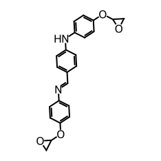 C(=N\c1ccc(OC2CO2)cc1)/c1ccc(Nc2ccc(OC3CO3)cc2)cc1